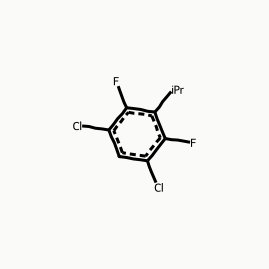 CC(C)c1c(F)c(Cl)cc(Cl)c1F